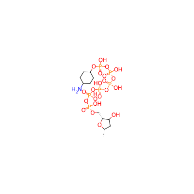 C[C@H]1CC(O)[C@@H](COP(=O)(O)OP(=O)(O)OP(=O)(O)OP(=O)(O)OP(=O)(O)OP(=O)(O)OC2CCC(N)CC2)O1